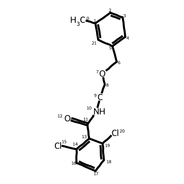 Cc1cccc(COCCNC(=O)c2c(Cl)cccc2Cl)c1